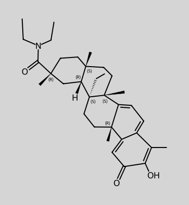 CCN(CC)C(=O)[C@]1(C)CC[C@]2(C)CC[C@]3(C)C4=CC=C5C(=CC(=O)C(O)=C5C)[C@]4(C)CC[C@@]3(CC)[C@@H]2C1